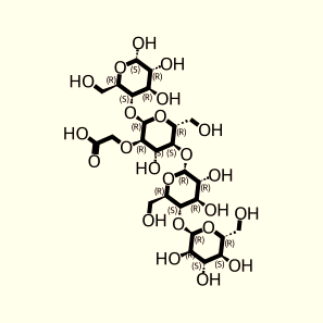 O=C(O)CO[C@H]1[C@@H](O[C@H]2[C@H](O)[C@@H](O)[C@@H](O)O[C@@H]2CO)O[C@H](CO)[C@@H](O[C@H]2O[C@H](CO)[C@@H](O[C@H]3O[C@H](CO)[C@@H](O)[C@H](O)[C@H]3O)[C@H](O)[C@H]2O)[C@@H]1O